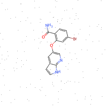 NC(=O)c1ccc(Br)cc1Oc1cnc2[nH]ccc2c1